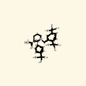 O=C(O)[C@@H]1CCCN(Cc2cc(C(F)(F)F)ccc2C(F)(F)F)[C@H]1c1ccc(C(F)(F)F)cc1